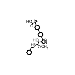 Cc1noc(-c2ccc(-c3ccc(C4(C(=O)O)CC4)cc3)cc2)c1C(O)C(=O)NCCc1ccccc1